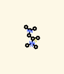 c1ccc(-c2cc(-c3ccccc3)nc(-c3cccc(-c4cc(-c5nc(-c6ccccc6)nc(-c6ccccc6)n5)c5sc6ccccc6c5c4)c3)n2)cc1